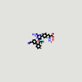 N#Cc1cccc(-c2ccccc2C(Oc2cc(-c3ccc(C[C@H](N)C(=O)O)cc3)nc(N)n2)C(F)(F)F)c1